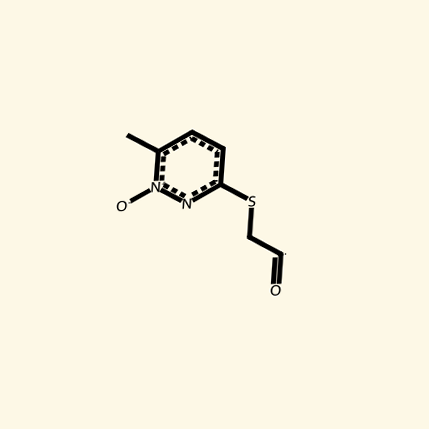 Cc1ccc(SC[C]=O)n[n+]1[O-]